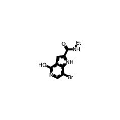 CCNC(=O)c1cc2c(O)ncc(Br)c2[nH]1